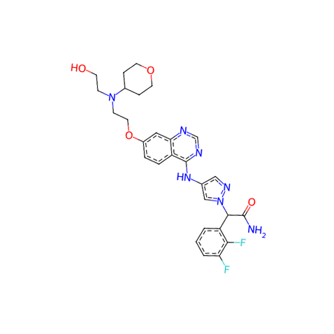 NC(=O)C(c1cccc(F)c1F)n1cc(Nc2ncnc3cc(OCCN(CCO)C4CCOCC4)ccc23)cn1